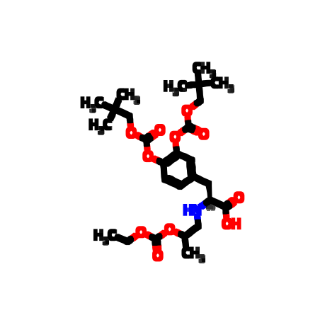 CCOC(=O)OC(C)CN[C@@H](Cc1ccc(OC(=O)OCC(C)(C)C)c(OC(=O)OCC(C)(C)C)c1)C(=O)O